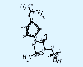 CC(C)Cc1ccc(C(CC(N)=O)C(=O)CCS(=O)(=O)O)cc1